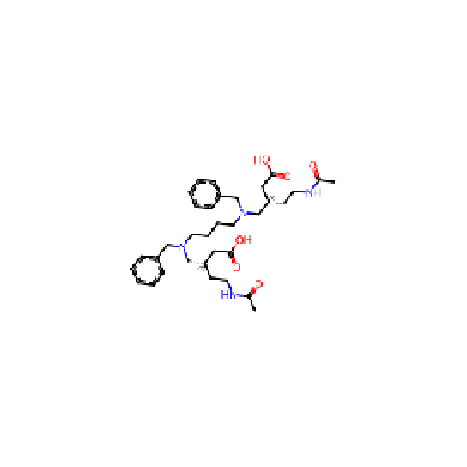 CC(=O)NCC[C@@H](CC(=O)O)CN(CCCCN(Cc1ccccc1)C[C@@H](CCNC(C)=O)CC(=O)O)Cc1ccccc1